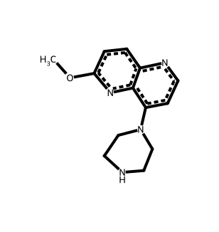 COc1ccc2nccc(N3CCNCC3)c2n1